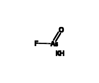 O=[As]F.[KH]